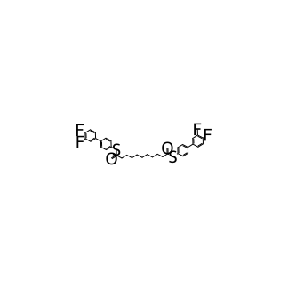 O=C(CCCCCCCCCC(=O)Sc1ccc(-c2ccc(F)c(F)c2)cc1)Sc1ccc(-c2ccc(F)c(F)c2)cc1